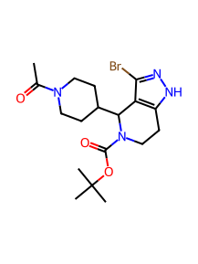 CC(=O)N1CCC(C2c3c(Br)n[nH]c3CCN2C(=O)OC(C)(C)C)CC1